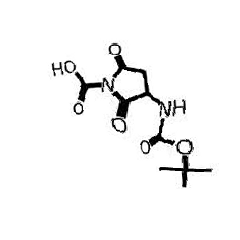 CC(C)(C)OC(=O)NC1CC(=O)N(C(=O)O)C1=O